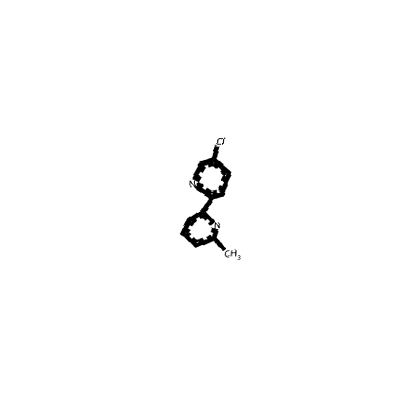 Cc1cccc(-c2ccc(Cl)cn2)n1